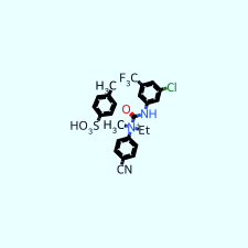 CC[N+](C)(C(=O)Nc1cc(Cl)cc(C(F)(F)F)c1)c1ccc(C#N)cc1.Cc1ccc(S(=O)(=O)O)cc1